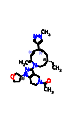 C=C1/C=C\C(c2cnn(C)c2)=C/C[C@H](CC)CCN1c1nn([C@H]2CCOC2)c2c1CN(C(C)=O)CC2